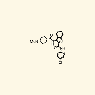 CN[C@H]1CC[C@H](C(=O)Nc2c(C(=O)Nc3ccc(Cl)cn3)oc3ccccc23)CC1